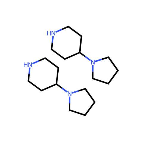 C1CCN(C2CCNCC2)C1.C1CCN(C2CCNCC2)C1